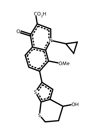 COc1c(-c2cc3c(s2)SCCC3O)ccc2c(=O)c(C(=O)O)cn(C3CC3)c12